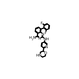 Nc1nc(Nc2ccc(C3CNCCO3)nc2)nc2c(-c3c(F)cccc3F)cccc12